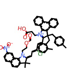 Cc1ccc(CC2(Cc3ccccc3C)C(/C=C/C(Cl)=C/C=C3\N(CCOC=O)c4c(ccc5ccc([N+](=O)[O-])cc45)C3(C)C)=[N+](CCC(=O)O)c3c2c2ccccc2c2ccccc32)cc1